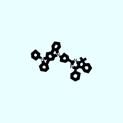 CC1(C)c2ccccc2-c2c(-c3ccccc3)nc(-c3ccc(-n4c5ccccc5c5cc6c(cc54)c4ccccc4n6-c4ccccc4)cc3)nc21